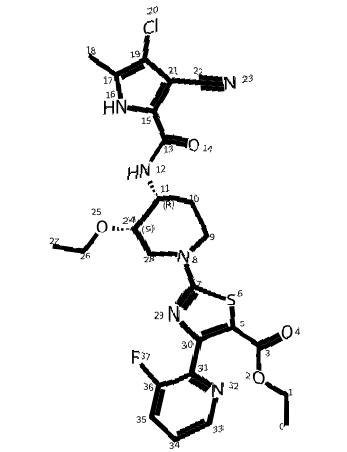 CCOC(=O)c1sc(N2CC[C@@H](NC(=O)c3[nH]c(C)c(Cl)c3C#N)[C@@H](OCC)C2)nc1-c1ncccc1F